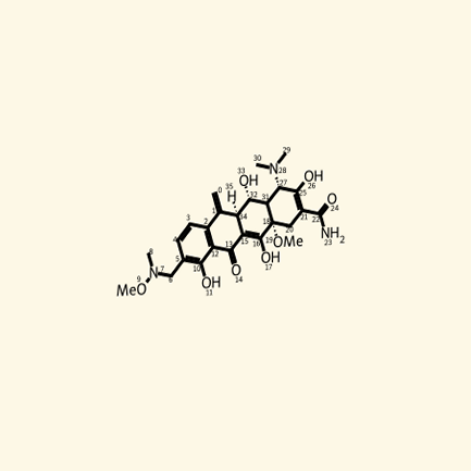 C=C1c2ccc(CN(C)OC)c(O)c2C(=O)C2=C(O)[C@]3(OC)CC(C(N)=O)=C(O)[C@@H](N(C)C)C3[C@@H](O)[C@H]12